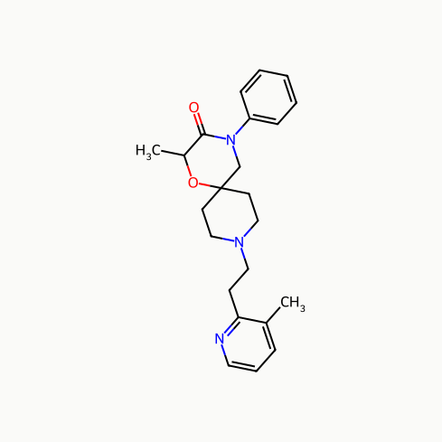 Cc1cccnc1CCN1CCC2(CC1)CN(c1ccccc1)C(=O)C(C)O2